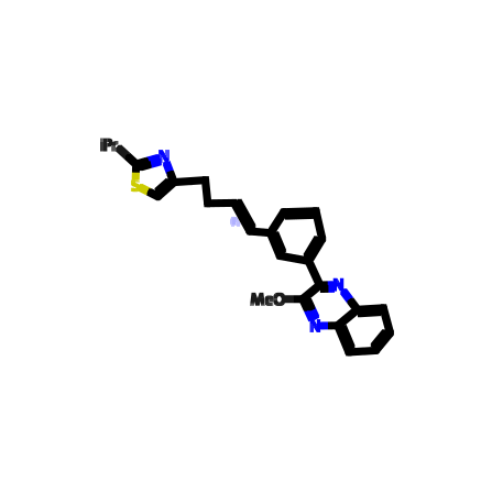 COc1nc2ccccc2nc1-c1cccc(/C=C/CCc2csc(C(C)C)n2)c1